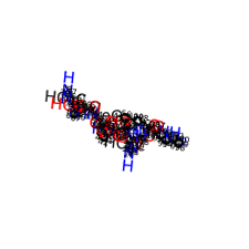 CCc1cc(OC)ccc1-c1ccc(C[C@H](NC(=O)[C@H](CC(=O)O)CC(=O)[C@H](Cc2c[nH]cn2)NC(=O)[C@@H](CC(=O)C(C)(Cc2ccccc2F)NC(=O)[C@@H](CC(=O)CNC(=O)[C@H](CCC(=O)O)CC(=O)C2(C)CCCN2C(=O)[C@@H](O)Cc2c[nH]cn2)[C@@H](C)O)[C@@H](C)O)C(=O)C[C@@H](Cc2ccc(-c3ccccc3C)nc2)C(N)=O)cc1